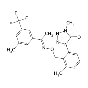 CC(=NOCc1c(C)cccc1-n1nnn(C)c1=O)c1cc(C)cc(C(F)(F)F)c1